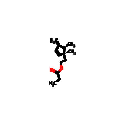 C=C1C=C[C@](C)(CCOC(=O)CC)[C@H]1C